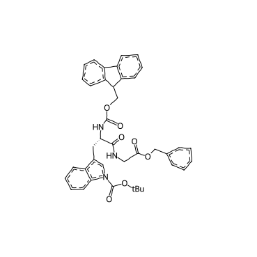 CC(C)(C)OC(=O)n1cc(C[C@H](NC(=O)OCC2c3ccccc3-c3ccccc32)C(=O)NCC(=O)OCc2ccccc2)c2ccccc21